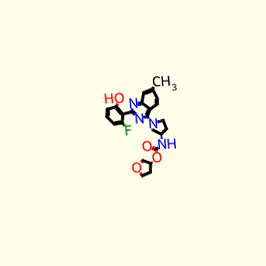 Cc1ccc2c(N3CC[C@@H](NC(=O)O[C@H]4CCOC4)C3)nc(-c3c(O)cccc3F)nc2c1